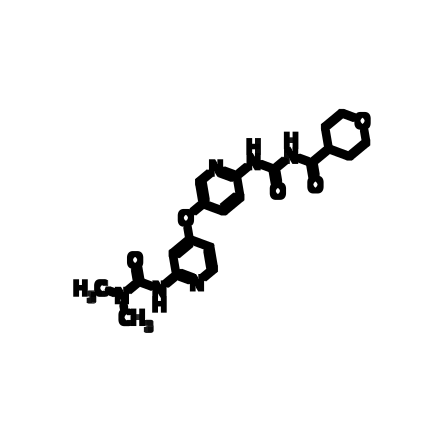 CN(C)C(=O)Nc1cc(Oc2ccc(NC(=O)NC(=O)C3CCOCC3)nc2)ccn1